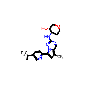 C[C@H](c1ccc(-c2cc(C(F)(F)F)c3cnc(N[C@@H]4CCOC[C@H]4O)nn23)nc1)C(F)(F)F